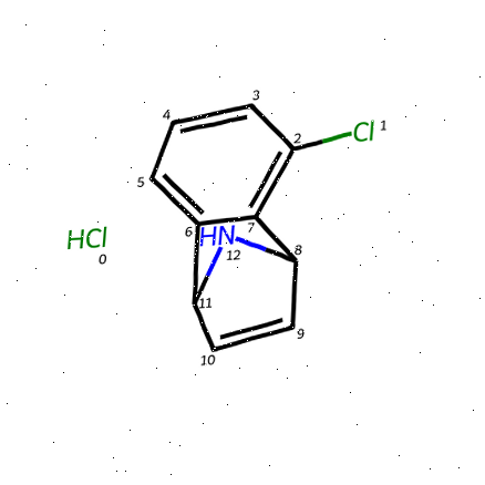 Cl.Clc1cccc2c1C1C=CC2N1